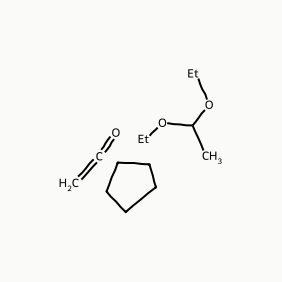 C1CCCC1.C=C=O.CCOC(C)OCC